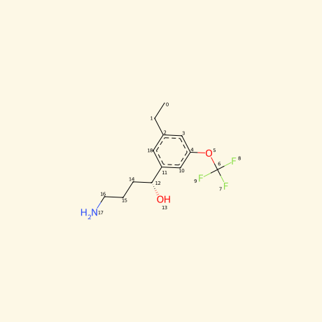 CCc1cc(OC(F)(F)F)cc([C@H](O)CCCN)c1